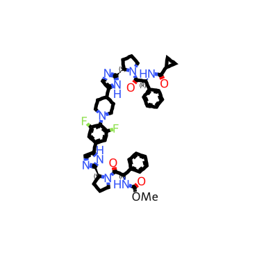 COC(=O)N[C@@H](C(=O)N1CCC[C@H]1c1ncc(-c2cc(F)c(N3CCC(c4cnc([C@@H]5CCCN5C(=O)[C@H](NC(=O)C5CC5)c5ccccc5)[nH]4)CC3)c(F)c2)[nH]1)c1ccccc1